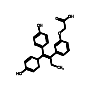 CC/C(=C(/c1ccc(O)cc1)C1C=CC(O)=CC1)c1cccc(OCC(=O)O)c1